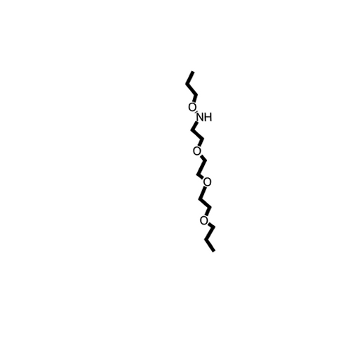 CCCOCCOCCOCCNOCCC